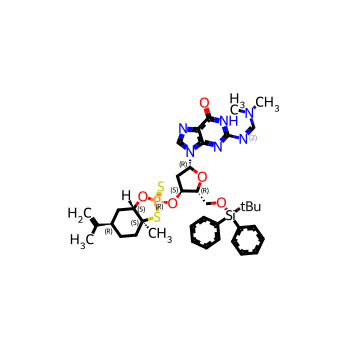 C=C(C)[C@@H]1CC[C@]2(C)S[P@](=S)(O[C@H]3C[C@H](n4cnc5c(=O)[nH]c(/N=C\N(C)C)nc54)O[C@@H]3CO[Si](c3ccccc3)(c3ccccc3)C(C)(C)C)O[C@H]2C1